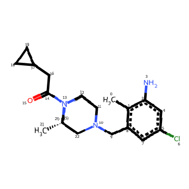 Cc1c(N)cc(Cl)cc1CN1CCN(C(=O)CC2CC2)[C@@H](C)C1